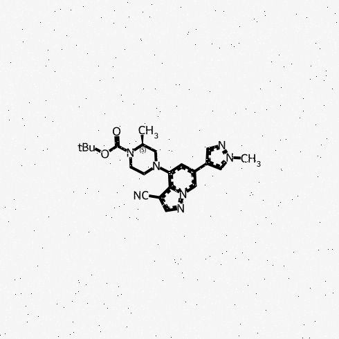 C[C@H]1CN(c2cc(-c3cnn(C)c3)cn3ncc(C#N)c23)CCN1C(=O)OC(C)(C)C